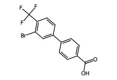 O=C(O)c1ccc(-c2ccc(C(F)(F)F)c(Br)c2)cc1